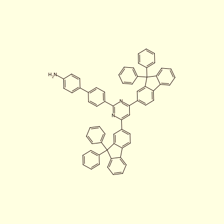 Nc1ccc(-c2ccc(-c3nc(-c4ccc5c(c4)C(c4ccccc4)(c4ccccc4)c4ccccc4-5)cc(-c4ccc5c(c4)C(c4ccccc4)(c4ccccc4)c4ccccc4-5)n3)cc2)cc1